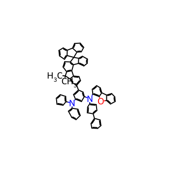 CC1(C)c2cc(-c3cc(N(c4ccccc4)c4ccccc4)cc(N(c4ccc(-c5ccccc5)cc4)c4cccc5c4oc4ccccc45)c3)ccc2-c2c1ccc1c2-c2ccccc2C12c1ccccc1-c1ccccc12